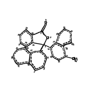 O=C1OC(c2cccc3ccccc23)(c2ccc(O)c3ccccc23)c2ccccc21